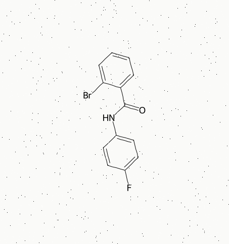 O=C(Nc1ccc(F)cc1)c1ccccc1Br